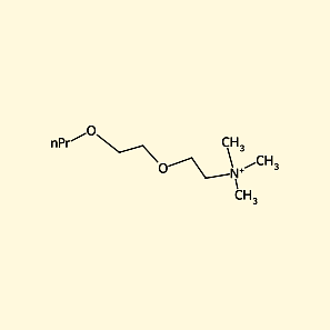 CCCOCCOCC[N+](C)(C)C